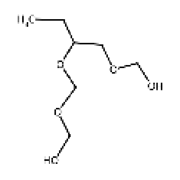 CCC(COCO)OCOCO